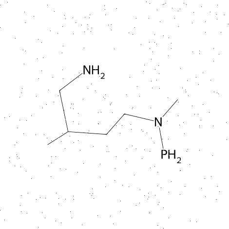 CC(CN)CCN(C)P